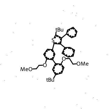 COCCOc1ccc(-c2sc(C(C)(C)C)c(-c3ccccc3)c2-c2ccccc2)cc1-c1cc(C(C)(C)C)ccc1OCCOC